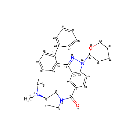 CN(C)[C@@H]1CCN(C(=O)c2ccc3c(c2)c(-c2ccccc2-c2ccccc2)nn3C2CCCCO2)C1